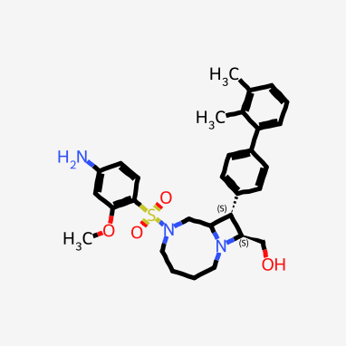 COc1cc(N)ccc1S(=O)(=O)N1CCCCN2C(C1)[C@H](c1ccc(-c3cccc(C)c3C)cc1)[C@H]2CO